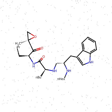 CCCCCCN[C@H](CN[C@@H](CCCC)C(=O)N[C@@H](CC(C)C)C(=O)[C@@]1(C)CO1)Cc1c[nH]c2ccccc12